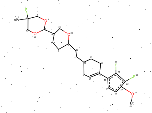 CCCC1(F)COC(C2CCC(CCC3CC=C(c4ccc(OCC)c(F)c4F)CC3)OC2)OC1